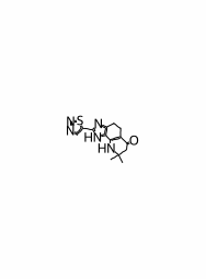 CC1(C)CC(=O)C2=C(N1)c1[nH]c(-c3cnns3)nc1CC2